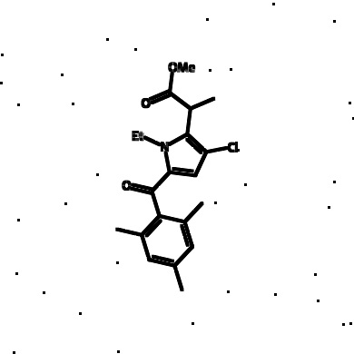 CCn1c(C(=O)c2c(C)cc(C)cc2C)cc(Cl)c1C(C)C(=O)OC